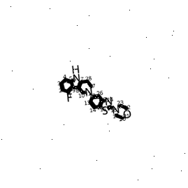 Fc1cccc2[nH]c3c(c12)CN(c1ccc2sc(N4CCOCC4)nc2c1)CC3